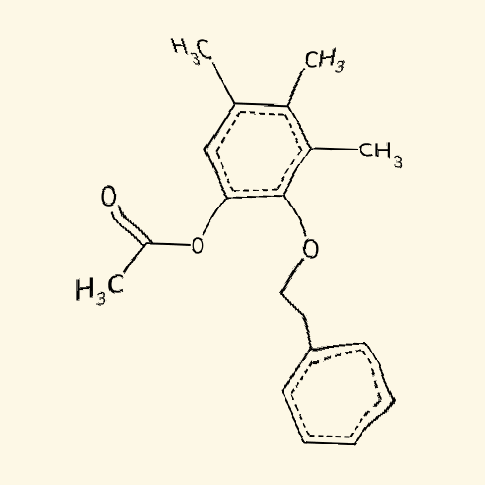 CC(=O)Oc1cc(C)c(C)c(C)c1OCc1ccccc1